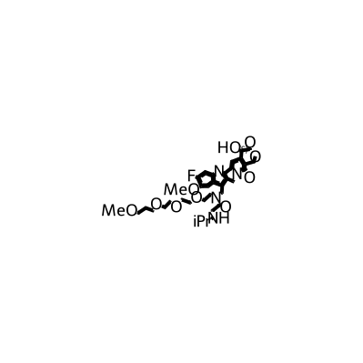 COCCCOCCOCCOCCN(Cc1c2c(nc3cc(F)c(OC)cc13)-c1cc3c(c(=O)n1C2)COC(=O)[C@H]3O)C(=O)CNC(C)C